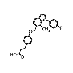 Cc1c(COc2ccc(CCC(=O)O)cc2)ccc2ccn(-c3ccc(F)cc3)c12